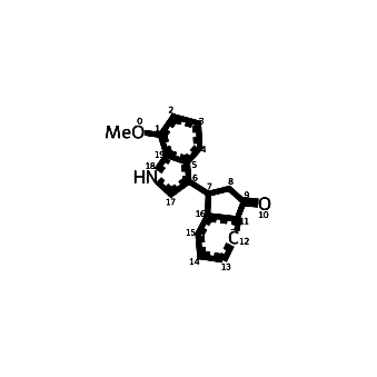 COc1cccc2c(C3CC(=O)c4ccccc43)c[nH]c12